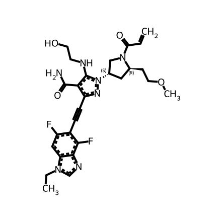 C=CC(=O)N1C[C@@H](n2nc(C#Cc3c(F)cc4c(ncn4CC)c3F)c(C(N)=O)c2NCCO)C[C@@H]1CCOC